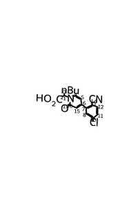 CCCCC(C(=O)O)n1ccc(-c2cc(Cl)ccc2C#N)cc1=O